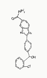 NC(=O)c1ccc2[nH]c(-c3ccc(C(O)c4ccccc4Cl)cc3)nc2c1